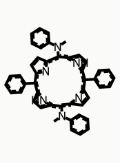 CN(c1ccccc1)c1c2nc(c(-c3ccccc3)c3ccc([nH]3)c(N(C)c3ccccc3)c3nc(c(-c4ccccc4)c4ccc1[nH]4)C=C3)C=C2